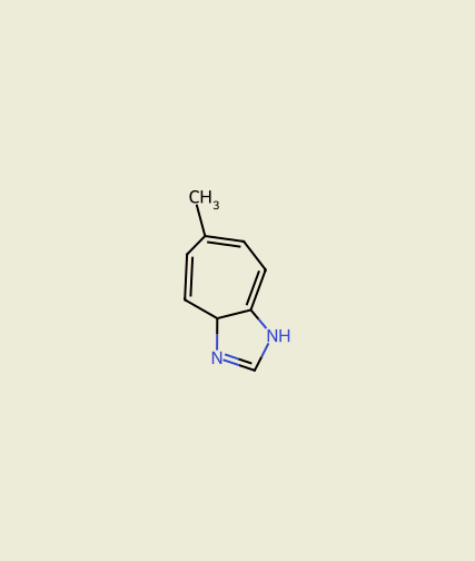 CC1=CC=C2NC=NC2C=C1